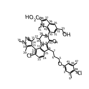 Cc1cc(OCCCc2c3n(c4c(-c5c(C)nn(C)c5C)c(Cl)ccc24)C(C)CN(c2cc(CO)cc4cc(C(=O)O)n(C)c24)C3=O)cc(C)c1Cl